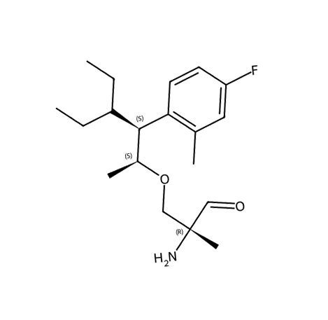 CCC(CC)[C@@H](c1ccc(F)cc1C)[C@H](C)OC[C@@](C)(N)C=O